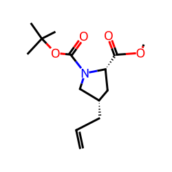 C=CC[C@H]1C[C@@H](C(=O)OC)N(C(=O)OC(C)(C)C)C1